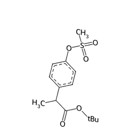 CC(C(=O)OC(C)(C)C)c1ccc(OS(C)(=O)=O)cc1